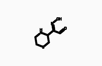 O=CC(=NO)C1CSCCN1